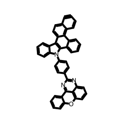 c1ccc2c(c#1)ccc1c2c2ccccc2c2c1c1ccccc1n2-c1ccc(-c2nc3c4c(cccc4n2)Oc2ccccc2-3)cc1